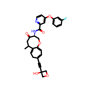 CC1CC(=O)[C@@H](NC(=O)c2cc(Oc3cccc(F)c3)ccn2)COC2=CC=C(C#CC3(O)COC3)CC=C21